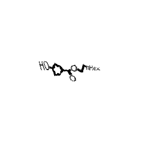 CCCCCCC=COC(=O)c1ccc(O)cc1